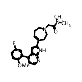 COc1ccc(F)cc1-c1ccnc2[nH]c(C3=CCCN(CC(=O)N(C)C)CC3)cc12